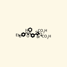 CCOc1ccc(NC(=O)N(c2cccc(-c3sc(C(=O)O)c(OCC(=O)O)c3Br)c2)C2CCCCC2)cc1